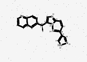 C[C@@H](c1ccc2ncccc2c1)c1cnc2ccc(-c3cn[nH]c3)nn12